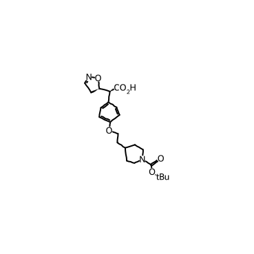 CC(C)(C)OC(=O)N1CCC(CCOc2ccc([C@H](C(=O)O)[C@H]3CC=NO3)cc2)CC1